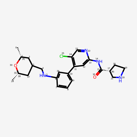 C[C@@H]1CC(CNc2cccc(-c3cc(NC(=O)[C@@H]4CCNC4)ncc3Cl)c2)C[C@H](C)O1